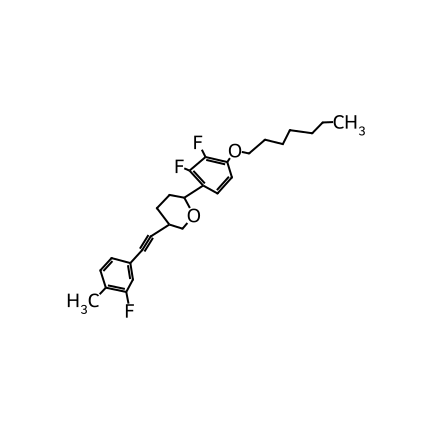 CCCCCCCOc1ccc(C2CCC(C#Cc3ccc(C)c(F)c3)CO2)c(F)c1F